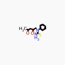 CC(=O)CC(=O)CN(C(N)=S)c1ccccc1